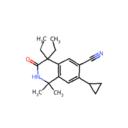 CCC1(CC)C(=O)NC(C)(C)c2cc(C3CC3)c(C#N)cc21